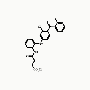 CCOC(=O)CCC(=O)Nc1ccccc1Nc1ccc(C(=S)c2ccccc2C)c(Cl)c1